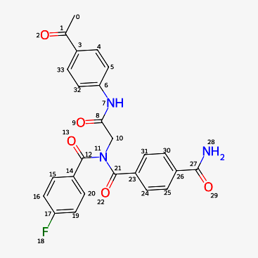 CC(=O)c1ccc(NC(=O)CN(C(=O)c2ccc(F)cc2)C(=O)c2ccc(C(N)=O)cc2)cc1